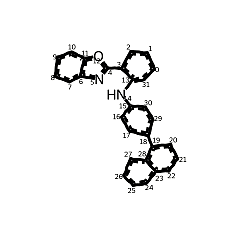 c1ccc(-c2nc3ccccc3o2)c(Nc2ccc(-c3cccc4ccccc34)cc2)c1